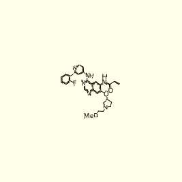 C=CC(=O)Nc1cc2c(Nc3ccnc(-c4ccccc4F)c3)ncnc2cc1OC1CCN(CCOC)C1